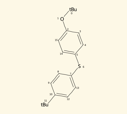 CC(C)(C)Oc1ccc(Sc2ccc(C(C)(C)C)cc2)cc1